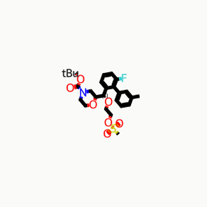 Cc1cccc(-c2c(F)cccc2[C@H](OCCOS(C)(=O)=O)C2CN(C(=O)OC(C)(C)C)CCO2)c1